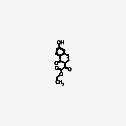 CCOC(=O)C(=O)C1CSc2cc(O)ccc2C1=O